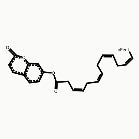 CCCCC/C=C\C/C=C\C/C=C\C/C=C\CC(=O)Oc1ccc2ccc(=O)oc2c1